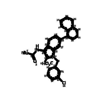 CCCCC(=O)Nc1c(C(=O)O)n(Cc2cccc(Cl)c2)c2cc(-c3cccc4ccccc34)ccc12